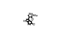 COC(=O)C(CN)c1c[nH]c2ccc(Cl)cc12